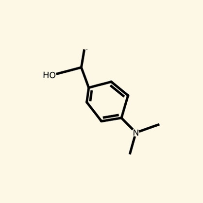 [CH2]C(O)c1ccc(N(C)C)cc1